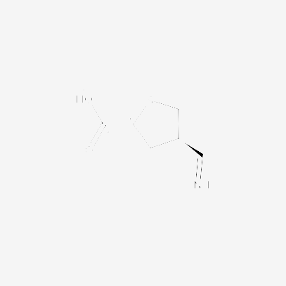 N=C[C@@H]1CS[C@@H](C(=O)O)C1